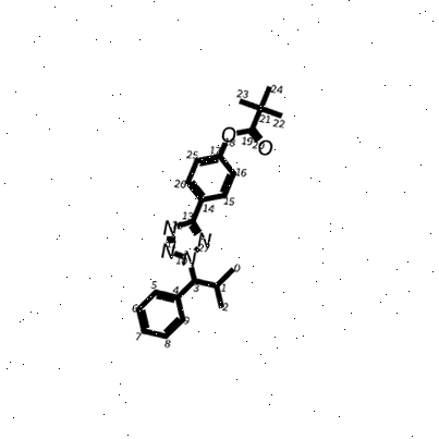 CC(C)C(c1ccccc1)n1nnc(-c2ccc(OC(=O)C(C)(C)C)cc2)n1